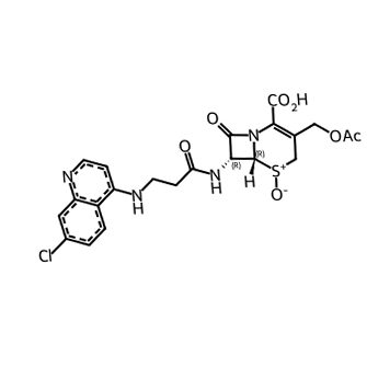 CC(=O)OCC1=C(C(=O)O)N2C(=O)[C@@H](NC(=O)CCNc3ccnc4cc(Cl)ccc34)[C@H]2[S+]([O-])C1